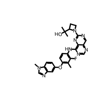 Cc1c(Oc2ccc3c(c2)ncn3C)ccc(Nc2ncnc3cnc(N4CCC4C(C)(C)O)nc23)c1F